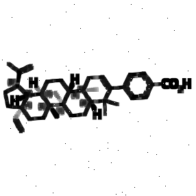 C=C[C@]12CC[C@@H](C(=C)C)[C@@H]1[C@H]1CC[C@@H]3[C@@]4(C)CC=C(c5ccc(C(=O)O)cc5)C(C)(C)[C@@H]4CC[C@@]3(C)[C@]1(C)CC2